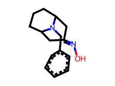 ON=C1CC2CCCC(C1)N2Cc1ccccc1